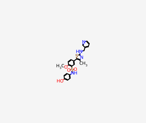 COc1ccc(-c2sc(NCc3cccnc3)nc2C)cc1S(=O)(=O)Nc1ccc(O)cc1